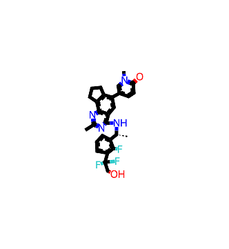 Cc1nc(N[C@H](C)c2cccc(C(F)(F)CO)c2F)c2cc(-c3ccc(=O)n(C)c3)c3c(c2n1)CCC3